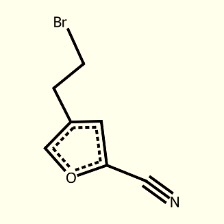 N#Cc1cc(CCBr)co1